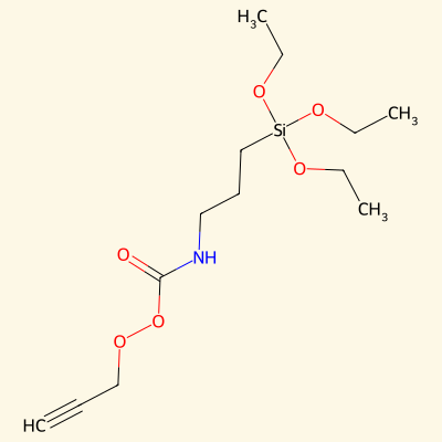 C#CCOOC(=O)NCCC[Si](OCC)(OCC)OCC